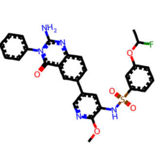 COc1ncc(-c2ccc3nc(N)n(-c4ccccc4)c(=O)c3c2)cc1NS(=O)(=O)c1cccc(OC(C)F)c1